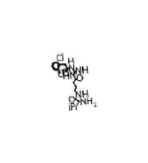 CC(C)[C@H](N)C(=O)NCCCC(=O)NC(=N)NC(=O)Cc1c(Cl)cccc1Cl